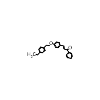 C=Cc1ccc(CCOc2ccc(C=CC(=O)c3ccccc3)cc2)cc1